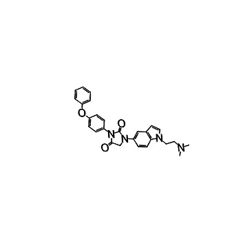 CN(C)CCn1ccc2cc(N3CC(=O)N(c4ccc(Oc5ccccc5)cc4)C3=O)ccc21